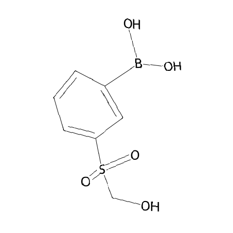 O=S(=O)(CO)c1cccc(B(O)O)c1